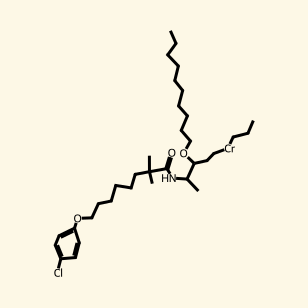 CCCCCCCCCCOC(C[CH2][Cr][CH2]CC)C(C)NC(=O)C(C)(C)CCCCCCOc1ccc(Cl)cc1